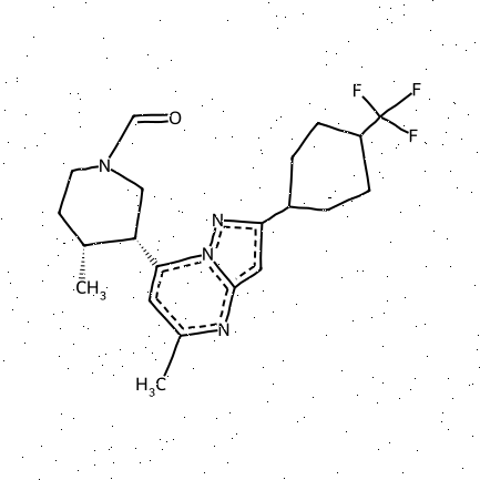 Cc1cc([C@H]2CN(C=O)CC[C@H]2C)n2nc(C3CCC(C(F)(F)F)CC3)cc2n1